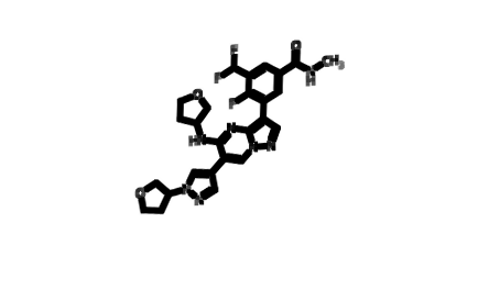 CNC(=O)c1cc(-c2cnn3cc(-c4cnn(C5CCOC5)c4)c(NC4CCOC4)nc23)c(F)c(C(F)F)c1